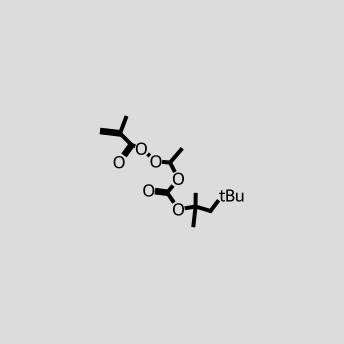 C=C(C)C(=O)OOC(C)OC(=O)OC(C)(C)CC(C)(C)C